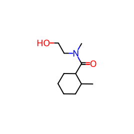 CC1CCCCC1C(=O)N(C)CCO